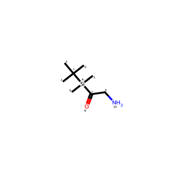 CC(C)(C)[Si](C)(C)C(=O)CN